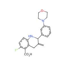 C=C1Cc2c(ccc(F)c2C(=O)O)NC1c1cccc(N2CCOCC2)c1